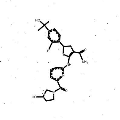 CC(C)(O)c1ccc(C2CC(C(N)=O)=C(Nc3cccc(C(=O)N4CCC(O)C4)n3)S2)c(F)c1